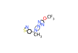 CC(c1ccc2scnc2c1)N1CCN(c2ncc(OCC(F)(F)F)cn2)CC1